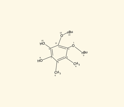 CCCCOc1c(C)c(C)c(O)c(O)c1OCCCC